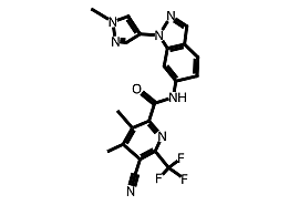 Cc1c(C(=O)Nc2ccc3cnn(-c4cnn(C)c4)c3c2)nc(C(F)(F)F)c(C#N)c1C